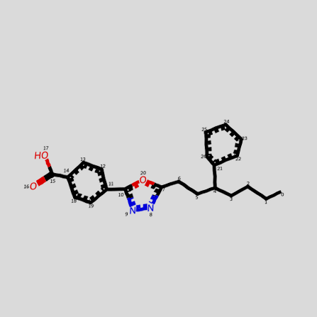 CCCCC(CCc1nnc(-c2ccc(C(=O)O)cc2)o1)c1ccccc1